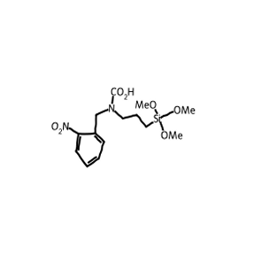 CO[Si](CCCN(Cc1ccccc1[N+](=O)[O-])C(=O)O)(OC)OC